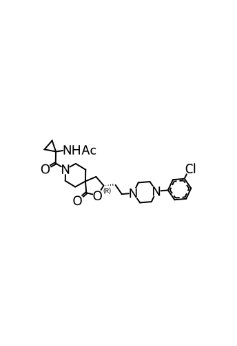 CC(=O)NC1(C(=O)N2CCC3(CC2)C[C@H](CCN2CCN(c4cccc(Cl)c4)CC2)OC3=O)CC1